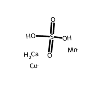 O=S(=O)(O)O.[CaH2].[Cu].[Mn]